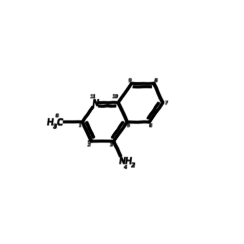 Cc1[c]c(N)c2ccccc2n1